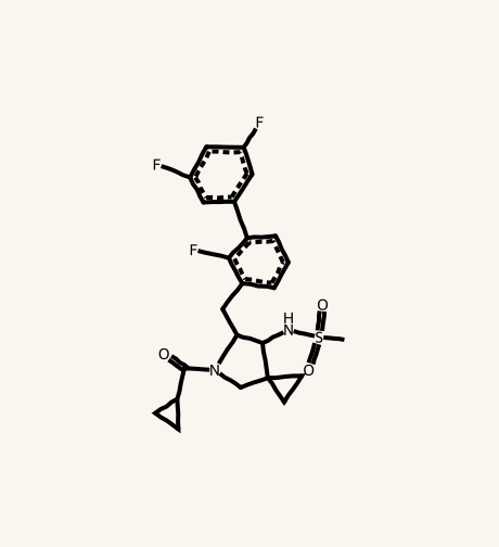 CS(=O)(=O)NC1C(Cc2cccc(-c3cc(F)cc(F)c3)c2F)N(C(=O)C2CC2)CC12CC2